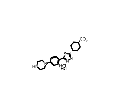 Cl.Cl.O=C(O)[C@H]1CC[C@H](c2nnc(-c3ccc(N4CCNCC4)cc3)s2)CC1